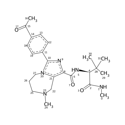 CNC(=O)[C@@H](NC(=O)c1nc(-c2ccc(C(C)=O)cc2)n2c1CN(C)CCC2)C(C)(C)C